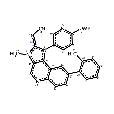 COc1ccc(-n2/c(=N\C#N)n(C)c3cnc4ccc(-c5ccccc5C)cc4c32)cn1